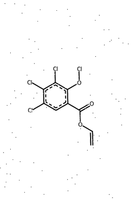 C=COC(=O)c1cc(Cl)c(Cl)c(Cl)c1OCl